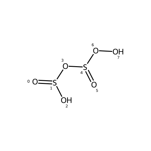 O=S(O)OS(=O)OO